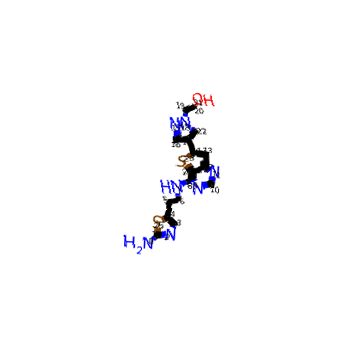 Nc1ncc(CCNc2ncnc3cc(-c4cnn(CCO)c4)sc23)s1